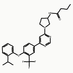 CCCC(=O)NC1CCN(c2cc(-c3ccc(Sc4ccccc4C(C)C)c(C(F)(F)F)c3)ncn2)C1